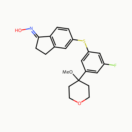 COC1(c2cc(F)cc(Sc3ccc4c(c3)CCC4=NO)c2)CCOCC1